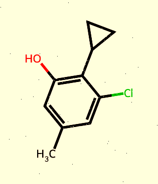 Cc1cc(O)c(C2CC2)c(Cl)c1